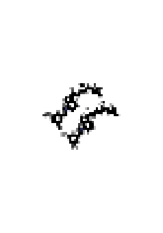 Cc1csc(C(=O)CCC[C@@H](C)[C@H]2CC[C@H]3/C(=C/C=C4C[C@@H](O)C[C@H](O)C4)CCC[C@]23C)c1.Cc1csc([C@@H](O)CCC[C@@H](C)[C@H]2CC[C@H]3/C(=C/C=C4C[C@@H](O)C[C@H](O)C4)CCC[C@]23C)c1